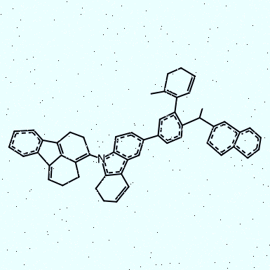 CC1=C(c2cc(-c3ccc4c(c3)c3c(n4C4=C5CCC=C6C5=C(CC4)c4ccccc46)CCC=C3)ccc2C(C)c2ccc3ccccc3c2)C=CCC1